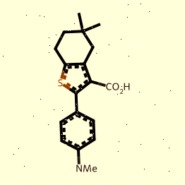 CNc1ccc(-c2sc3c(c2C(=O)O)CC(C)(C)CC3)cc1